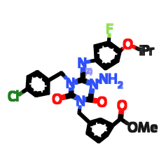 COC(=O)c1cccc(Cn2c(=O)n(N)/c(=N\c3ccc(OC(C)C)c(F)c3)n(Cc3ccc(Cl)cc3)c2=O)c1